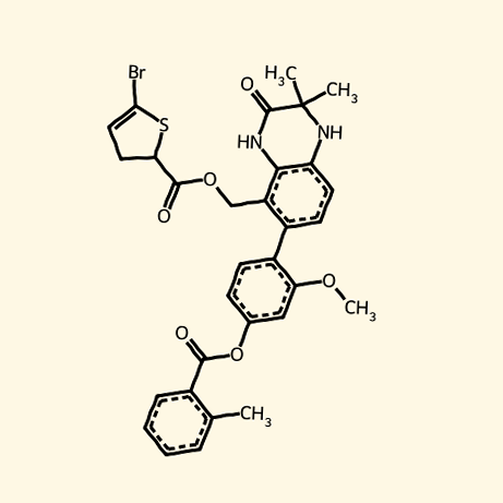 COc1cc(OC(=O)c2ccccc2C)ccc1-c1ccc2c(c1COC(=O)C1CC=C(Br)S1)NC(=O)C(C)(C)N2